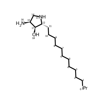 CC(C)CCCCCCCCCCC[C@H]1NC[C@H](N)[C@@H]1O